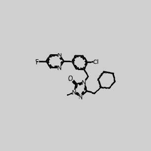 Cn1nc(CC2CCCCC2)n(Cc2cc(-c3ncc(F)cn3)ccc2Cl)c1=O